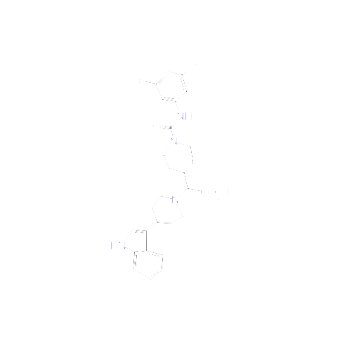 O=C(O)C(C1CCN(C(=O)Nc2cc(F)cc(C(F)(F)F)c2)CC1)N1CCC(c2c[nH]c3ccccc23)CC1